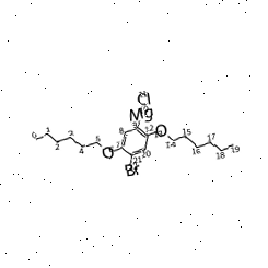 CCCCCCOc1c[c]([Mg][Cl])c(OCCCCCC)cc1Br